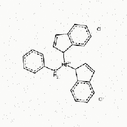 C1=C[CH]([Hf+2]([SiH2]c2ccccc2)[CH]2C=Cc3ccccc32)c2ccccc21.[Cl-].[Cl-]